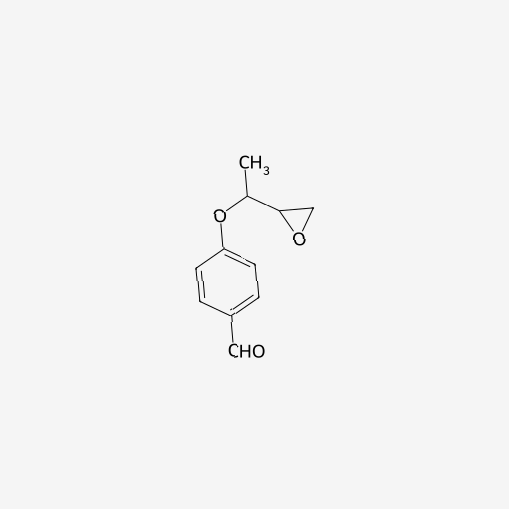 CC(Oc1ccc(C=O)cc1)C1CO1